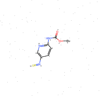 CC(C)(C)OC(=O)Nc1ccc(N=S)cn1